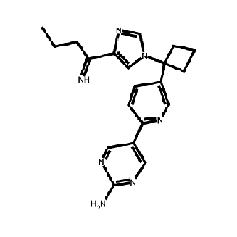 CCCC(=N)c1cn(C2(c3ccc(-c4cnc(N)nc4)nc3)CCC2)cn1